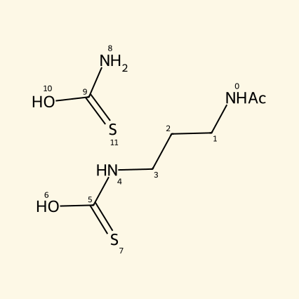 CC(=O)NCCCNC(O)=S.NC(O)=S